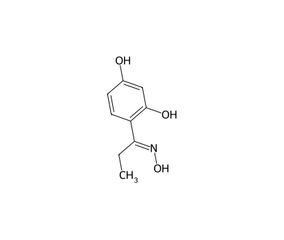 CCC(=NO)c1ccc(O)cc1O